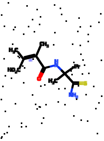 C/C(C(=O)O)=C(\C)C(=O)NC(C)(C(N)=S)C(C)C